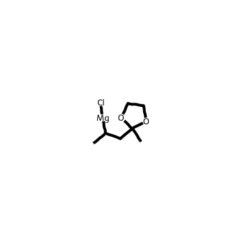 C[CH](CC1(C)OCCO1)[Mg][Cl]